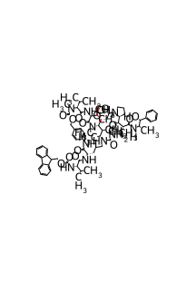 CC[C@H](C)[C@@H]([C@@H](CC(=O)N1CCC[C@H]1[C@H](OC)[C@@H](C)C(=O)N[C@H](C)[C@@H](O)c1ccccc1)OC)N(C)C(=O)[C@@H](NC(=O)[C@H](C(C)C)N(C)C(=O)OCc1ccc(NC(=O)[C@H](CCCNC(N)=O)NC(=O)[C@@H](NC(=O)OCC2c3ccccc3-c3ccccc32)C(C)C)cc1)C(C)C